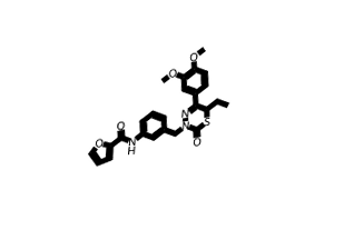 CCC1SC(=O)N(Cc2cccc(NC(=O)c3ccco3)c2)N=C1c1ccc(OC)c(OC)c1